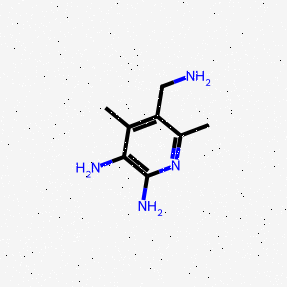 Cc1nc(N)c(N)c(C)c1CN